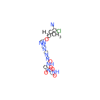 CC(C)(c1ccc(OCc2ccnc(N3CCN(C4CCN(C5CN(C(=O)CNc6cccc7c6C(=O)N(C6CCC(=O)NC6=O)C7=O)C5)CC4)CC3)n2)cc1)c1cc(Cl)cc(C#N)c1